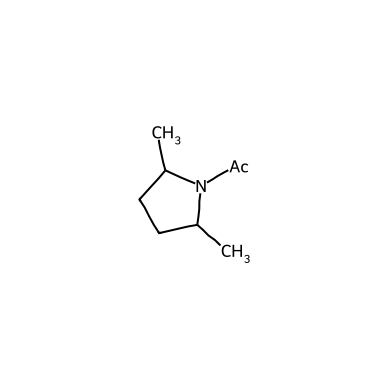 CC(=O)N1C(C)CCC1C